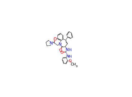 COc1ccccc1NC(=O)NC1C=C(c2ccccc2)c2ccccc2N(CC(=O)N2CCCC2)C1=O